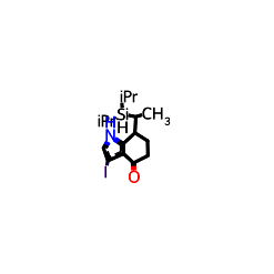 CC(C)[SiH](C(C)C)C(C)C1CCC(=O)c2c(I)c[nH]c21